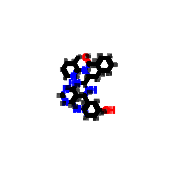 Cc1cccnc1-n1c(CNc2ncnc(N)c2C(=N)c2cccc(O)c2)cc2ccccc2c1=O